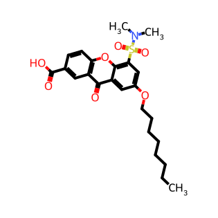 CCCCCCCCOc1cc(S(=O)(=O)N(C)C)c2oc3ccc(C(=O)O)cc3c(=O)c2c1